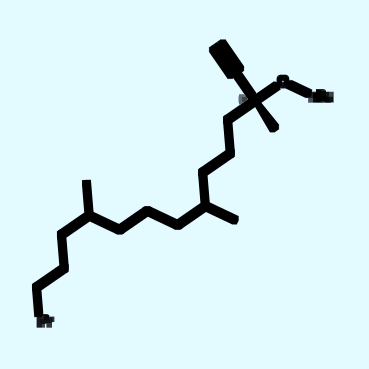 C#C[C@@](C)(CCCC(C)CCCC(C)CCCC(C)C)OCCCC